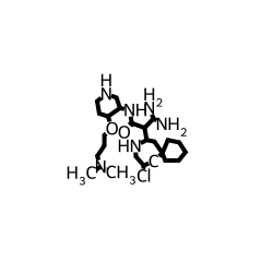 CN(C)CCCOC1CCNCC1NC(=O)C(C(N)N)C1CC2(CCCCC2)CC(Cl)CN1